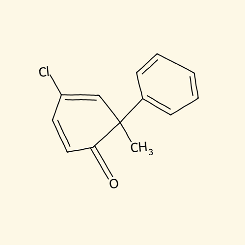 CC1(c2ccccc2)C=C(Cl)C=CC1=O